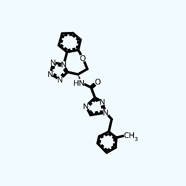 Cc1ccccc1Cn1cnc(C(=O)N[C@H]2COc3ccccc3-n3nnnc32)n1